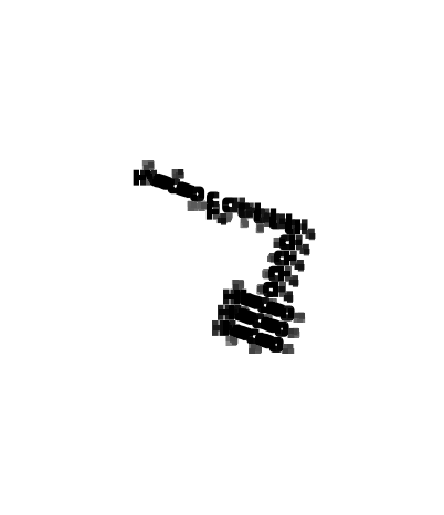 C.C.C.C.C.C.C.C.C.C.N=C=O.N=C=O.N=C=O.N=C=O